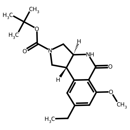 CCc1cc(OC)c2c(c1)[C@@H]1CN(C(=O)OC(C)(C)C)C[C@H]1NC2=O